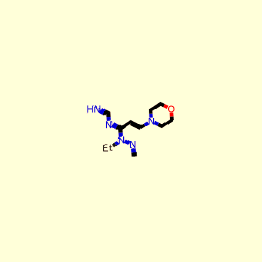 C=NN(CC)C(/C=C/N1CCOCC1)=N/C=N